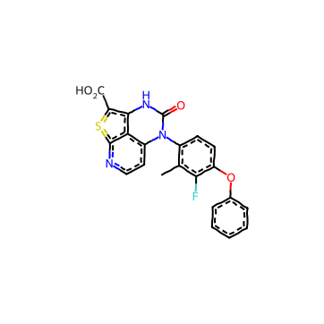 Cc1c(N2C(=O)Nc3c(C(=O)O)sc4nccc2c34)ccc(Oc2ccccc2)c1F